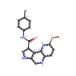 COc1ccc2ncc3[nH]cc(C(=O)Nc4ccc(C)cc4)c3c2n1